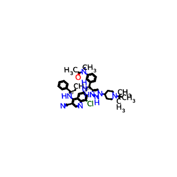 CC[C@@H](Nc1c(C#N)cnc2c(Cl)cc(N[C@H](C3=CN(C4CCN(C(C)(C)C)CC4)NN3)c3cccc(N(C)C(C)=O)c3)cc12)c1ccccc1